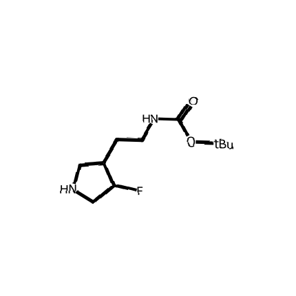 CC(C)(C)OC(=O)NCCC1CNCC1F